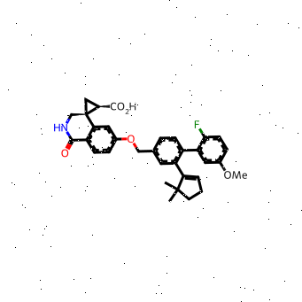 COc1ccc(F)c(-c2ccc(COc3ccc4c(c3)[C@]3(CNC4=O)C[C@H]3C(=O)O)cc2C2=CCCC2(C)C)c1